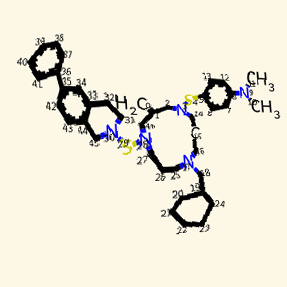 C=C1CN(Sc2ccc(N(C)C)cc2)CCCN(CC2CCCCC2)CCCN(SN2CCc3cc(-c4ccccc4)ccc3C2)C1